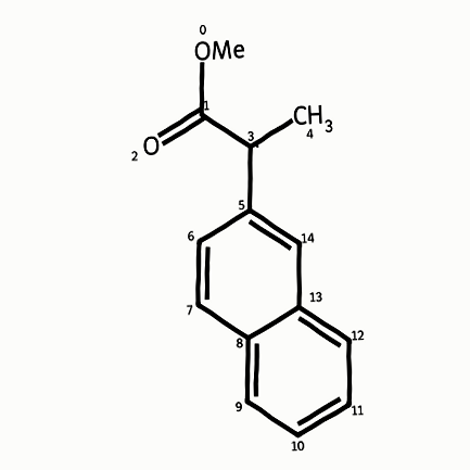 COC(=O)[C](C)c1ccc2ccccc2c1